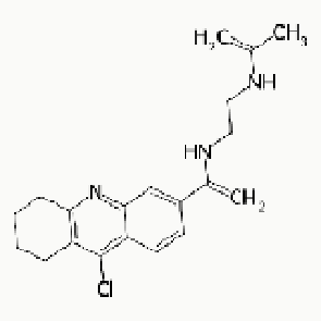 C=C(C)NCCNC(=C)c1ccc2c(Cl)c3c(nc2c1)CCCC3